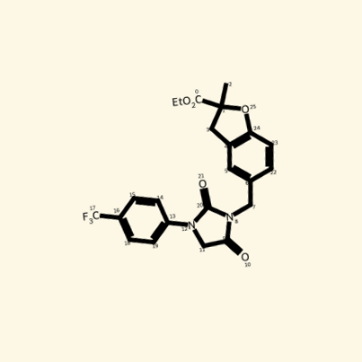 CCOC(=O)C1(C)Cc2cc(CN3C(=O)CN(c4ccc(C(F)(F)F)cc4)C3=O)ccc2O1